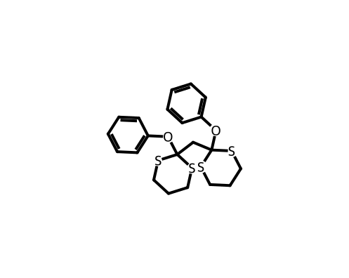 c1ccc(OC2(CC3(Oc4ccccc4)SCCCS3)SCCCS2)cc1